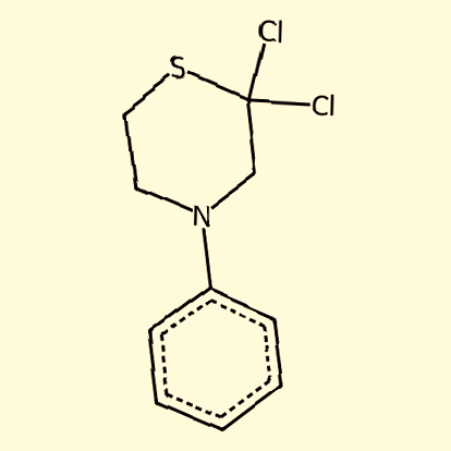 ClC1(Cl)CN(c2ccccc2)CCS1